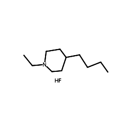 CCCCC1CCN(CC)CC1.F